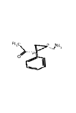 CC(=O)[C@]1(c2ccccc2)C[C@@H]1CN